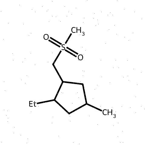 CCC1CC(C)CC1CS(C)(=O)=O